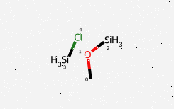 CO[SiH3].[SiH3]Cl